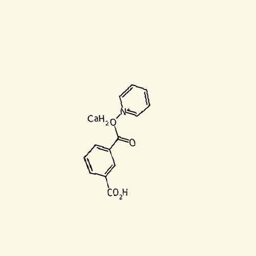 O=C(O)c1cccc(C(=O)O[n+]2ccccc2)c1.[CaH2]